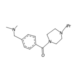 CC(C)N1CCN(C(=O)c2ccc(CN(C)C)cc2)CC1